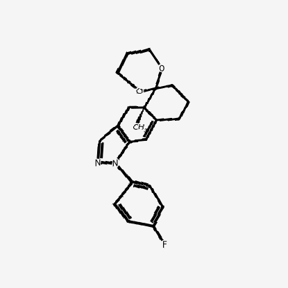 C[C@]12Cc3cnn(-c4ccc(F)cc4)c3C=C1CCCC21OCCCO1